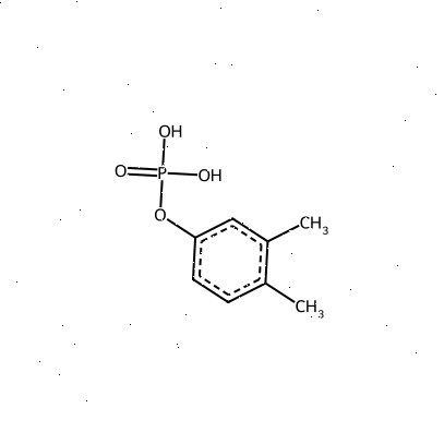 Cc1ccc(OP(=O)(O)O)cc1C